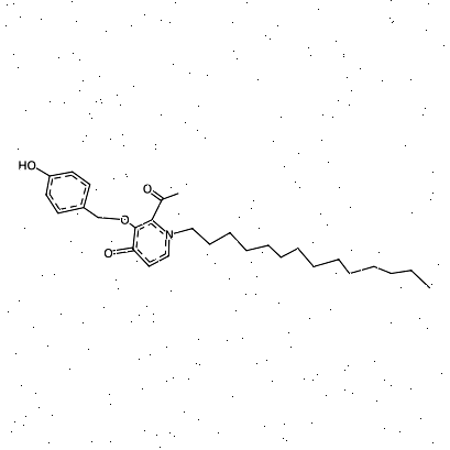 CCCCCCCCCCCCCCn1ccc(=O)c(OCc2ccc(O)cc2)c1C(C)=O